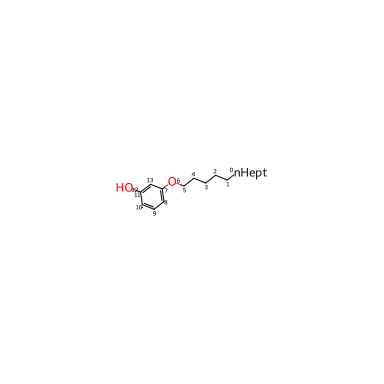 CCCCCCCCCCCCOc1cc[c]c(O)c1